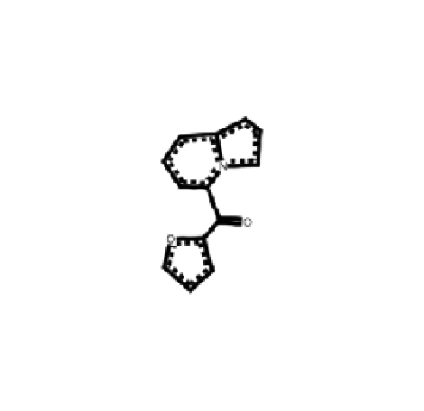 O=C(c1ccco1)c1cccc2cccn12